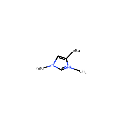 CCCCc1cn(CCCC)c[n+]1C